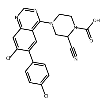 N#CC1CN(c2ncnc3cc(Cl)c(-c4ccc(Cl)cc4)cc23)CCN1C(=O)O